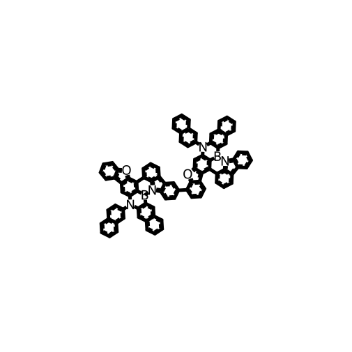 c1ccc2cc(N3c4cc5ccccc5cc4B4c5c3cc3c(oc6ccccc63)c5-c3cccc5c6cc(-c7cccc8c7oc7cc9c%10c(c78)-c7cccc8c%11ccccc%11n(c78)B%10c7cc8ccccc8cc7N9c7ccc8ccccc8c7)ccc6n4c35)ccc2c1